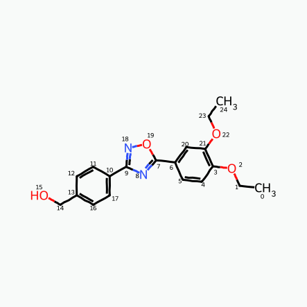 CCOc1ccc(-c2nc(-c3ccc(CO)cc3)no2)cc1OCC